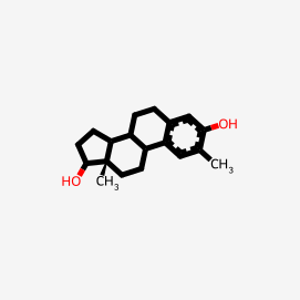 Cc1cc2c(cc1O)CCC1C2CC[C@]2(C)C(O)CCC12